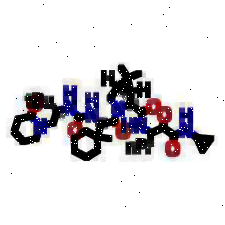 CCCC(NC(=O)[C@@H]1[C@@H]2[C@H](CN1C(=O)[C@@H](NC(=O)N[C@H](CN1CCCCC1=O)C(C)(C)C)C1(C)CCCCC1)C2(C)C)C(=O)C(=O)NC1CC1